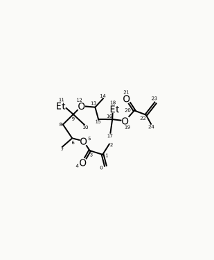 C=C(C)C(=O)OC(C)CC(C)(CC)OC(C)CC(C)(CC)OC(=O)C(=C)C